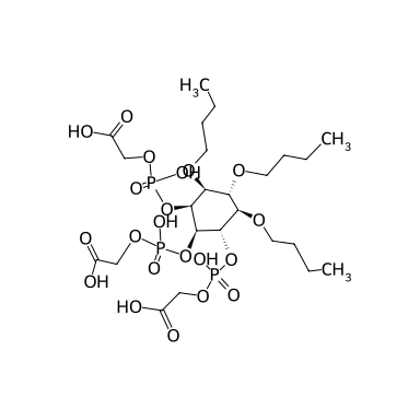 CCCCO[C@@H]1[C@@H](OCCCC)[C@H](OP(=O)(O)OCC(=O)O)[C@@H](OP(=O)(O)OCC(=O)O)[C@@H](OP(=O)(O)OCC(=O)O)[C@H]1OCCCC